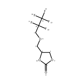 O=C1OCC(COCC(F)(F)C(F)(F)F)O1